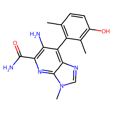 Cc1ccc(O)c(C)c1-c1c(N)c(C(N)=O)nc2c1ncn2C